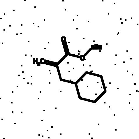 C=C(CC1CCCCC1)C(=O)OCCCC